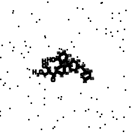 CCN(CC)C(=O)c1ccc(C2(c3cccc(O)c3)CCN(Cc3cccs3)CC2)cc1